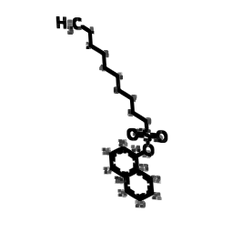 CCCCCCCCCCS(=O)(=O)Oc1cccc2ccccc12